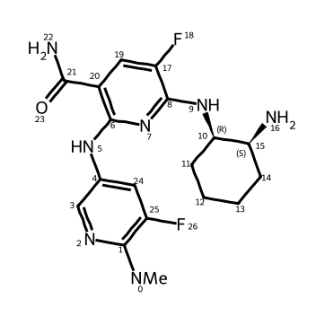 CNc1ncc(Nc2nc(N[C@@H]3CCCC[C@@H]3N)c(F)cc2C(N)=O)cc1F